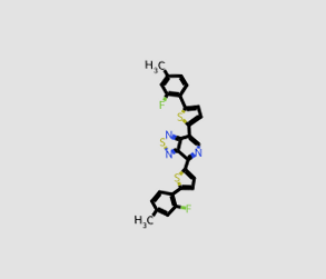 Cc1ccc(-c2ccc(-c3cnc(-c4ccc(-c5ccc(C)cc5F)s4)c4nsnc34)s2)c(F)c1